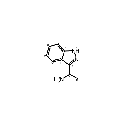 CC(N)c1n[nH]c2ccccc12